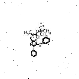 CN(Cc1nc(-c2ccccc2)c(Sc2ccccc2)s1)C(=O)OC(C)(C)C